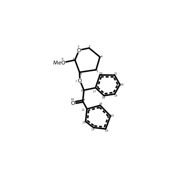 COC1OCCCC1OC(C(=O)c1ccccc1)c1ccccc1